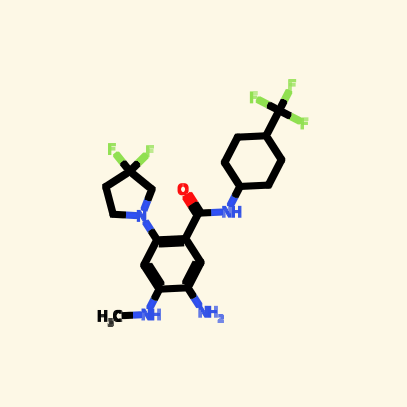 CNc1cc(N2CCC(F)(F)C2)c(C(=O)NC2CCC(C(F)(F)F)CC2)cc1N